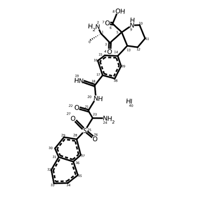 C[C@H](N)C(=O)C1(C(=O)O)NCCCC1c1ccc(C(=N)NC(=O)C(N)S(=O)(=O)c2ccc3ccccc3c2)cc1.I